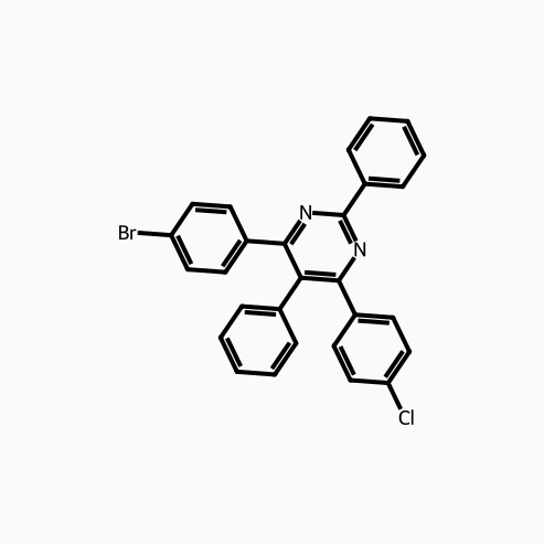 Clc1ccc(-c2nc(-c3ccccc3)nc(-c3ccc(Br)cc3)c2-c2ccccc2)cc1